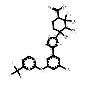 Cc1cc(Nc2nccc(C(F)(F)F)n2)cc(-c2cnc(C3(O)CCC(C(=O)O)C(C)(C)C3C)s2)c1